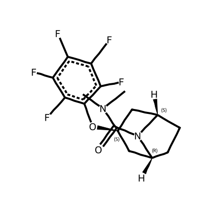 CN(C)C(=O)N1[C@@H]2CC[C@H]1C[C@H](Oc1c(F)c(F)c(F)c(F)c1F)C2